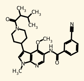 COc1c(NC(=O)c2cccc(C#N)c2)cnc2c1c(C1CCN(C(=O)C(C)C(C)C)CC1)cn2C